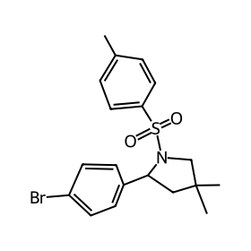 Cc1ccc(S(=O)(=O)N2CC(C)(C)CC2c2ccc(Br)cc2)cc1